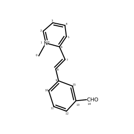 C[n+]1ccccc1C=Cc1cccc(C=O)c1